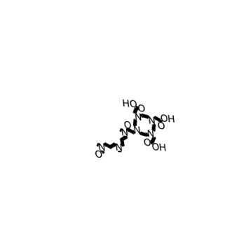 CN(C=O)CCCN(C)CCCN(C)C(=O)CN1CCN(CC(=O)O)CCN(CC(=O)O)CCN(CC(=O)O)CC1